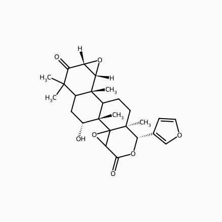 CC1(C)C(=O)[C@@H]2O[C@@H]2[C@@]2(C)C1C[C@@H](O)[C@]1(C)C2CC[C@@]2(C)[C@H](c3ccoc3)OC(=O)C3OC321